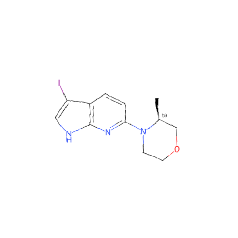 C[C@H]1COCCN1c1ccc2c(I)c[nH]c2n1